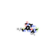 Cc1cnc(-c2cc(C(=O)NC(C)c3cnc(C(F)(F)F)nc3)cc3c2OCC(=O)N3CC2CNC2)s1